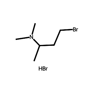 Br.CC(CCBr)N(C)C